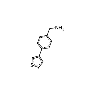 NCc1ccc(-c2c[c]sc2)cc1